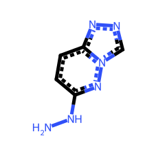 NNc1ccc2nncn2n1